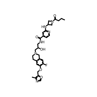 CCCC(=O)N1CC(Nc2cc(C(=O)NCC(O)CN3CCc4cc(OCc5ocnc5C)c(F)cc4C3)ccn2)C1